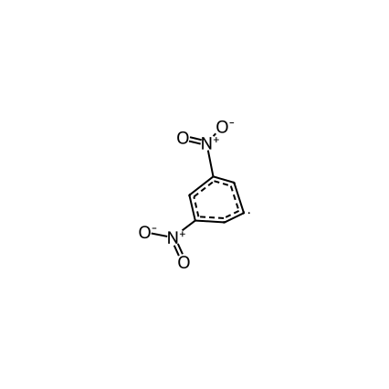 O=[N+]([O-])c1c[c]cc([N+](=O)[O-])c1